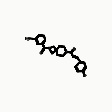 Cc1cccc(C(=O)N2CC3(CCN(C(=O)C=Cc4ccc(Br)cc4)CC3)C2)c1